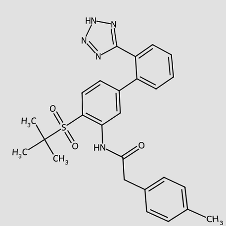 Cc1ccc(CC(=O)Nc2cc(-c3ccccc3-c3nn[nH]n3)ccc2S(=O)(=O)C(C)(C)C)cc1